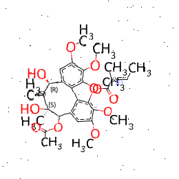 C/C=C(\C)C(=O)Oc1c(OC)c(OC)cc2c1-c1c(cc(OC)c(OC)c1OC)[C@H](O)[C@H](C)[C@](C)(O)C2OC(C)=O